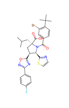 CC(C)C[C@@]1(C(=O)O)C[C@H](c2nc(-c3ccc(F)cc3)no2)[C@H](c2nccs2)N1C(=O)c1ccc(C(C)(C)C)c(Br)c1